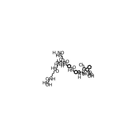 CC(C)[C@H](NCCNC(=O)CCCCCNC(=O)CNO)C(=O)N[C@@H](CCCNC(N)=O)C(=O)Nc1ccc(C(=O)Nc2ccc3[nH]c(C(=O)N4C[C@@H](CCl)c5c4cc(OP(=O)(O)O)c4ccccc54)cc3c2)cc1